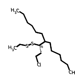 CCCCCCC(CCCCCC)[C@H](CCCl)SSCC